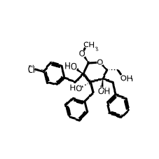 CO[C@H]1O[C@H](CO)[C@](O)(Cc2ccccc2)[C@@](O)(Cc2ccccc2)[C@]1(O)Cc1ccc(Cl)cc1